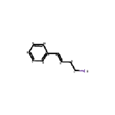 ICCC=Cc1ccccc1